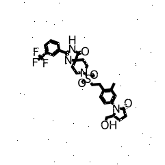 Cc1cc(N2C(=O)CCC2CO)ccc1CCS(=O)(=O)N1CCC2(CC1)N=C(c1cccc(C(F)(F)F)c1)NC2=O